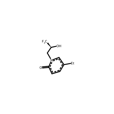 CCc1ccc(=O)n(C[C@H](O)C(F)(F)F)c1